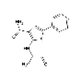 CC([C]=O)Nc1sc(-c2ccccc2)cc1C(N)=O